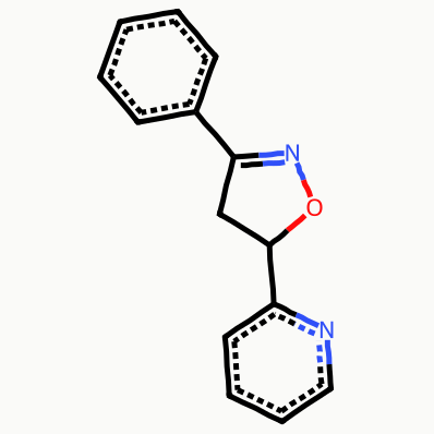 c1ccc(C2=NOC(c3ccccn3)C2)cc1